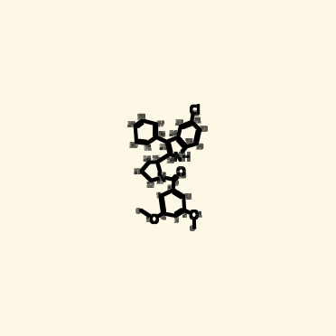 COc1cc(OC)cc(C(=O)N2CCCC2c2[nH]c3ccc(Cl)cc3c2-c2ccccc2)c1